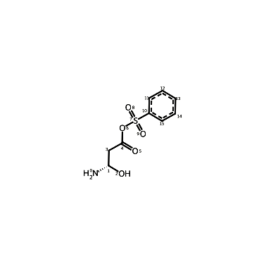 N[C@@H](O)CC(=O)OS(=O)(=O)c1ccccc1